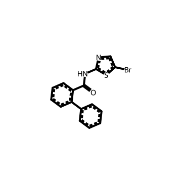 O=C(Nc1ncc(Br)s1)c1ccccc1-c1ccccc1